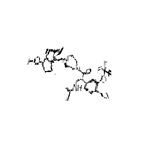 CC(C)NCC(C(=O)N1CCN(c2ncnc3c2[C@H](C)C[C@H]3O)CC1)c1ccc(Cl)c(OC(F)(F)F)c1